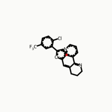 FC(F)(F)c1ccc(Cl)c(-c2ccc(/C=C3/CCCN=C3c3cccnc3)o2)c1